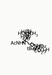 CC(=O)Nc1nc(CCc2ccc(NC(N(C(=O)O)C(C)(C)C)N(C(=O)O)C(C)(C)C)cc2)c(C(=O)N[C@H](C(=O)N(C)C)[C@H](C)O)s1